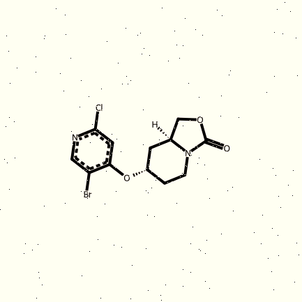 O=C1OC[C@@H]2C[C@@H](Oc3cc(Cl)ncc3Br)CCN12